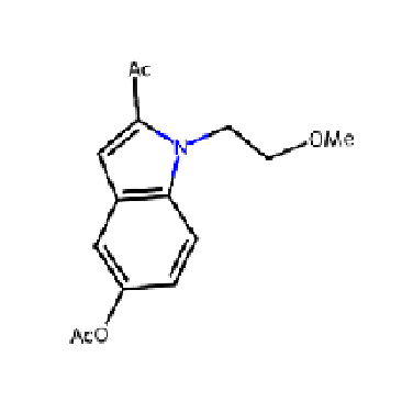 COCCn1c(C(C)=O)cc2cc(OC(C)=O)ccc21